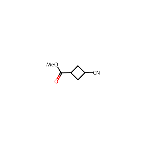 COC(=O)C1CC(C#N)C1